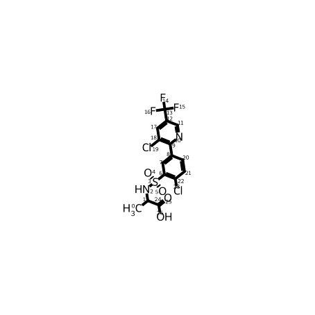 CC(NS(=O)(=O)c1cc(-c2ncc(C(F)(F)F)cc2Cl)ccc1Cl)C(=O)O